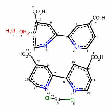 O.O.O=C(O)c1ccnc(-c2cc(C(=O)O)ccn2)c1.O=C(O)c1ccnc(-c2cc(C(=O)O)ccn2)c1.[Cl][Ru][Cl]